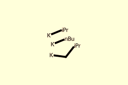 CC(C)[CH2][K].CCC[CH2][K].C[CH](C)[K]